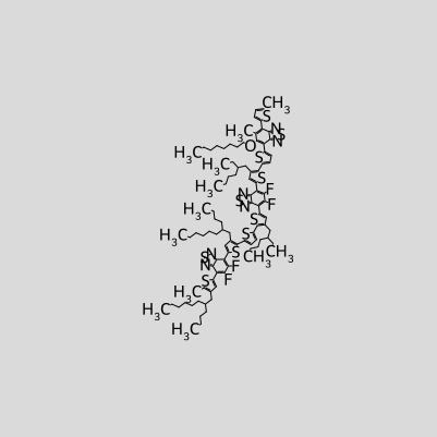 CCCCCCCCOc1c(C)c(-c2ccc(C)s2)c2nsnc2c1-c1ccc(-c2sc(-c3c(F)c(F)c(-c4cc(CC(CC)CCCC)c(-c5ccc(-c6sc(-c7c(F)c(F)c(-c8cc(CC(CCCC)CCCCCC)c(C)s8)c8nsnc78)cc6CC(CCCC)CCCCCC)s5)s4)c4nsnc34)cc2CC(CC)CCCC)s1